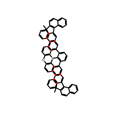 CC1(C)c2cc(-c3ccc4c(c3)N(c3c(-c5ccc(-c6ccccc6)cc5)cccc3-c3ccc(-c5ccccc5)cc3)c3cc(-c5ccc6c(c5)C(C)(C)c5ccc7ccccc7c5-6)ccc3O4)ccc2-c2c1ccc1ccccc21